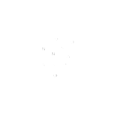 N=[N+](S(=O)(=O)C(F)(F)F)S(=O)(=O)C(F)(F)F